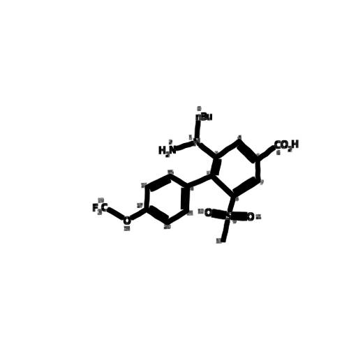 CCCCN(N)c1cc(C(=O)O)cc(S(C)(=O)=O)c1-c1ccc(OC(F)(F)F)cc1